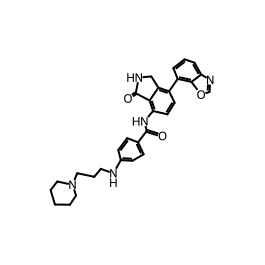 O=C(Nc1ccc(-c2cccc3ncoc23)c2c1C(=O)NC2)c1ccc(NCCCN2CCCCC2)cc1